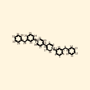 C1=CN(c2cccc(Cc3ccccc3)c2)CC=C1c1cc[n+](-c2cccc(Cc3ccccc3)c2)cc1